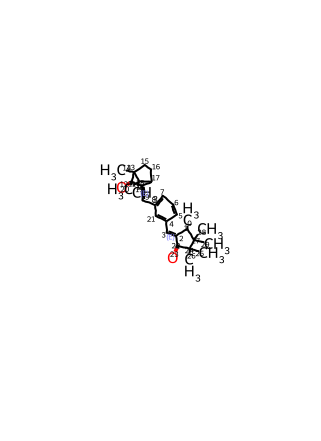 CC1/C(=C\c2cccc(/C=C3/C(=O)C4(C)CCC3C4(C)C)c2)C(=O)C(C)(C)C1(C)C